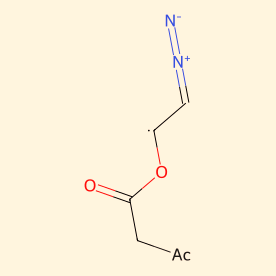 CC(=O)CC(=O)O[CH]C=[N+]=[N-]